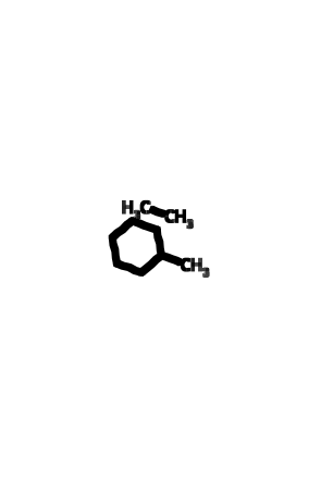 CC.CC1CCCCC1